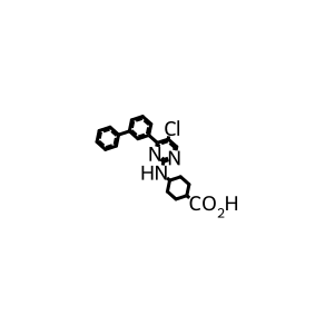 O=C(O)C1CCC(Nc2ncc(Cl)c(-c3cccc(-c4ccccc4)c3)n2)CC1